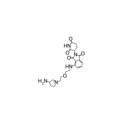 NC1CCN(CCOCCNc2cccc3c2C(=O)N(C2CCC(=O)NC2=O)C3=O)C1